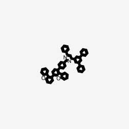 c1ccc(-c2cc(-c3ccccc3)cc(-c3cc(-c4ccccc4)nc(-c4ccc(-c5ccc(-c6cccc7oc8ccccc8c67)c6oc7ccccc7c56)cc4)n3)c2)cc1